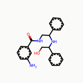 Nc1cccc(C(=O)NCC(NC(CO)c2ccccc2)c2ccccc2)c1